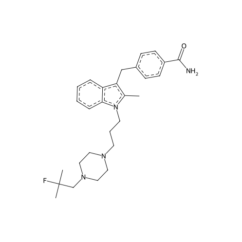 Cc1c(Cc2ccc(C(N)=O)cc2)c2ccccc2n1CCCN1CCN(CC(C)(C)F)CC1